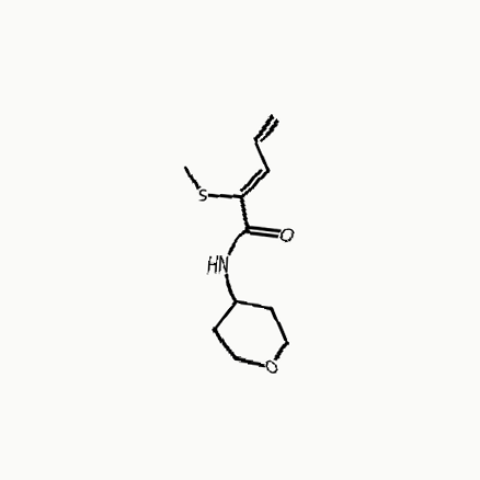 C=C/C=C(\SC)C(=O)NC1CCOCC1